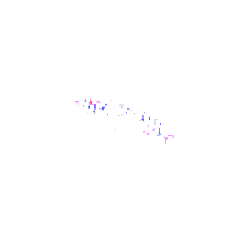 COC(=O)N[C@H](C(=O)N1CCC[C@H]1c1nc2cc([C@@H]3CC[C@@H](c4ccc5[nH]c([C@@H]6CCCN6C(=O)[C@@H](NC(=O)OC)C(C)C)nc5c4)N3c3ccc(C(F)(F)F)cc3)ccc2[nH]1)C(C)C